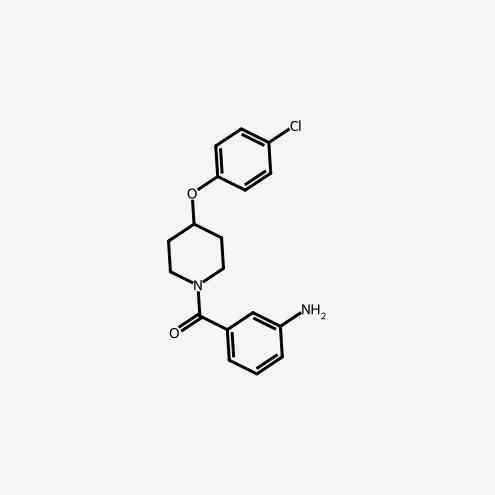 Nc1cccc(C(=O)N2CCC(Oc3ccc(Cl)cc3)CC2)c1